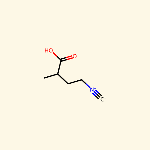 [C-]#[N+]CCC(C)C(=O)O